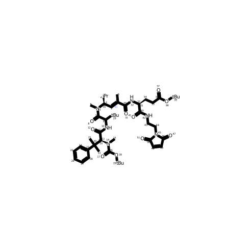 C/C(=C\[C@H](C(C)C)N(C)C(=O)C(NC(=O)[C@@H](N(C)C(=O)OC(C)(C)C)C(C)(C)c1ccccc1)C(C)(C)C)C(=O)N[C@@H](CCC(=O)OC(C)(C)C)C(=O)NCCN1C(=O)C=CC1=O